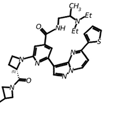 CCN(CC)C(C)CNC(=O)c1cc(-c2cnn3ccc(-c4cccs4)nc23)nc(N2CC[C@H]2C(=O)N2CC(F)C2)c1